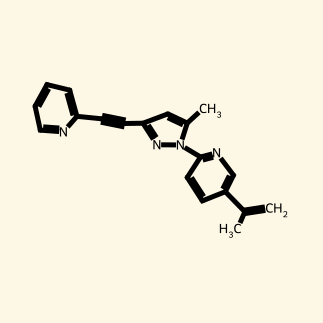 C=C(C)c1ccc(-n2nc(C#Cc3ccccn3)cc2C)nc1